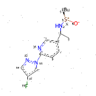 CC(N[S@+]([O-])C(C)(C)C)c1ccc(-n2cc(F)cn2)nc1